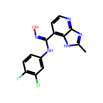 Cc1nc2nccc(/C(=N\O)Nc3ccc(F)c(Cl)c3)c2[nH]1